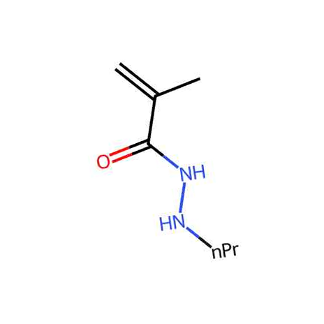 C=C(C)C(=O)NNCCC